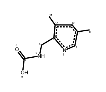 Cc1cnc(CNC(=O)O)c(C)c1